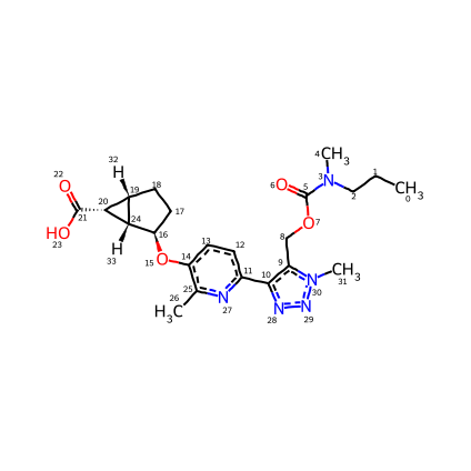 CCCN(C)C(=O)OCc1c(-c2ccc(O[C@@H]3CC[C@H]4[C@@H](C(=O)O)[C@H]43)c(C)n2)nnn1C